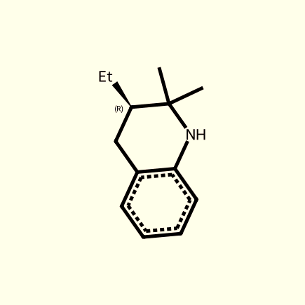 CC[C@@H]1Cc2ccccc2NC1(C)C